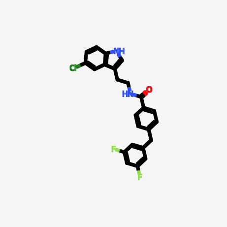 O=C(NCCc1c[nH]c2ccc(Cl)cc12)c1ccc(Cc2cc(F)cc(F)c2)cc1